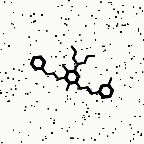 CCCN(CCC)c1nc(N/N=C/c2cccc(C)c2)c(C)c(OCCc2ccccn2)c1F